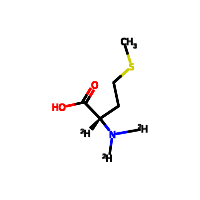 [2H]N([2H])[C@@]([2H])(CCSC)C(=O)O